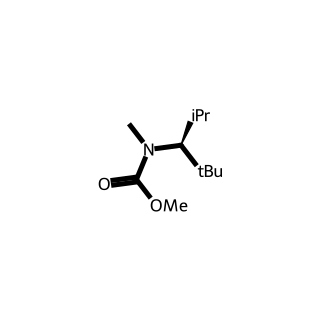 COC(=O)N(C)[C@@H](C(C)C)C(C)(C)C